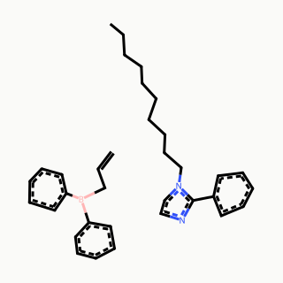 C=CCB(c1ccccc1)c1ccccc1.CCCCCCCCCCn1ccnc1-c1ccccc1